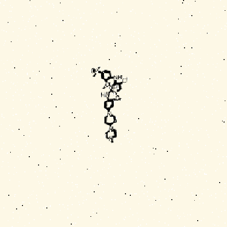 COc1cc(P(C)(C)=O)ccc1NC1=NC(Nc2ccc(N3CCC(N4CCN(C)CC4)CC3)cc2OC)NC=C1Cl